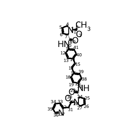 CC(=O)N1CC=C[C@H]1C(=O)Nc1ccc(/C=C/c2ccc(NC(=O)[C@@H]3C=CCN3C(=O)Cc3ccccn3)cc2)cc1